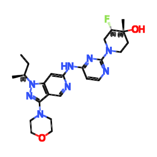 CC[C@H](C)n1nc(N2CCOCC2)c2cnc(Nc3ccnc(N4CC[C@@](C)(O)[C@@H](F)C4)n3)cc21